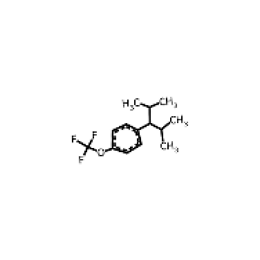 CC(C)C(c1ccc(OC(F)(F)F)cc1)C(C)C